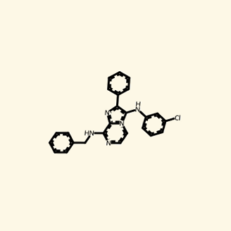 Clc1cccc(Nc2c(-c3ccccc3)nc3c(NCc4ccccc4)nccn23)c1